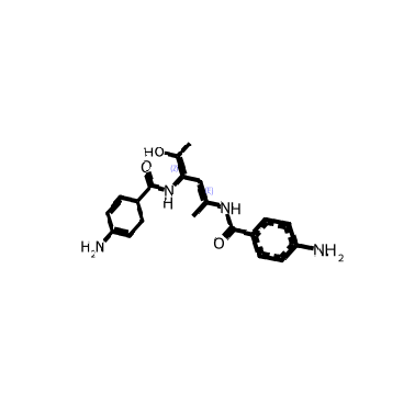 C/C(O)=C(\C=C(/C)NC(=O)c1ccc(N)cc1)NC(=O)C1C=CC(N)=CC1